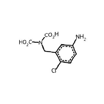 Nc1ccc(Cl)c(CN(C(=O)O)C(=O)O)c1